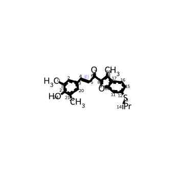 Cc1cc(/C=C/C(=O)c2oc3cc(SC(C)C)ccc3c2C)cc(C)c1O